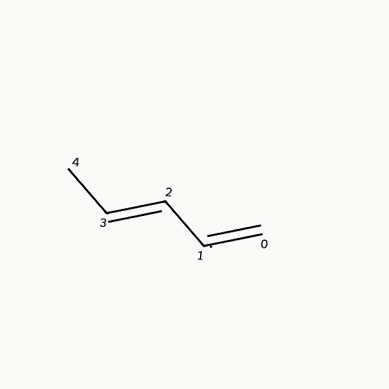 C=[C]C=CC